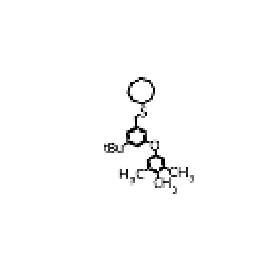 Cc1cc(Oc2cc(CSC3CCCCCCC3)cc(C(C)(C)C)c2)cc(C)c1C